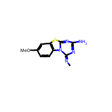 CN=c1nc(N)nc2sc3cc(OC)ccc3n12